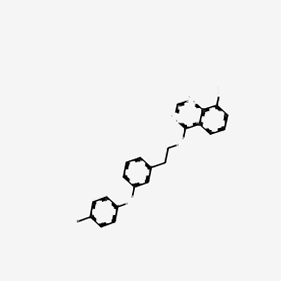 Fc1cccc2c(OCCc3cccc(Oc4ccc(Cl)cc4)c3)ncnc12